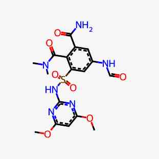 COc1cc(OC)nc(NS(=O)(=O)c2cc(NC=O)cc(C(N)=O)c2C(=O)N(C)C)n1